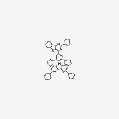 c1ccc(-c2ccc3c(c2)c2cc(-c4ccccc4)ccc2n3-c2c(-c3ccccc3)cc(-c3nc(-c4ccccc4)nc4c3sc3ccccc34)cc2-c2ccccc2)cc1